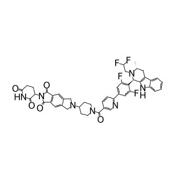 C[C@@H]1Cc2c([nH]c3ccccc23)[C@@H](c2c(F)cc(-c3ccc(C(=O)N4CCC(N5Cc6cc7c(cc6C5)C(=O)N(C5CCC(=O)NC5=O)C7=O)CC4)cn3)cc2F)N1CC(F)F